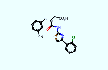 N#Cc1cccc(C[C@H](CC(=O)O)C(=O)Nc2nc(-c3ccccc3Cl)cs2)c1